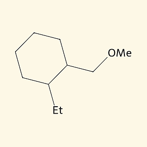 CCC1CCCCC1COC